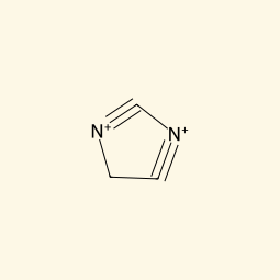 C1#[N+]C#[N+]C1